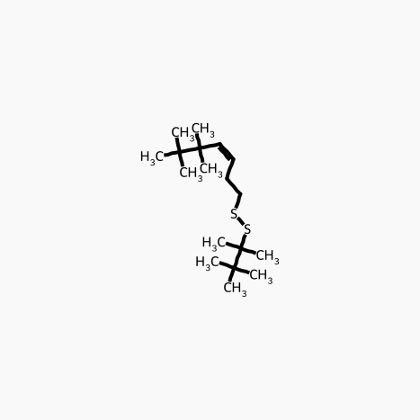 CC(C)(C)C(C)(C)/C=C\CCSSC(C)(C)C(C)(C)C